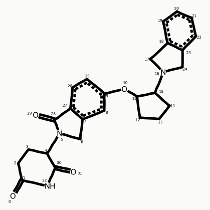 O=C1CCC(N2Cc3cc(OC4CCCC4N4Cc5ccccc5C4)ccc3C2=O)C(=O)N1